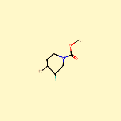 CCC1CCN(C(=O)OC(C)(C)C)CC1F